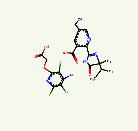 CCc1cnc(C2=NC(C)(C(C)C)C(=O)N2)c(C(=O)O)c1.Nc1c(Cl)c(F)nc(OCC(=O)O)c1Cl